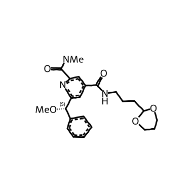 CNC(=O)c1cc(C(=O)NCCCC2OCCCO2)cc([C@@H](OC)c2ccccc2)n1